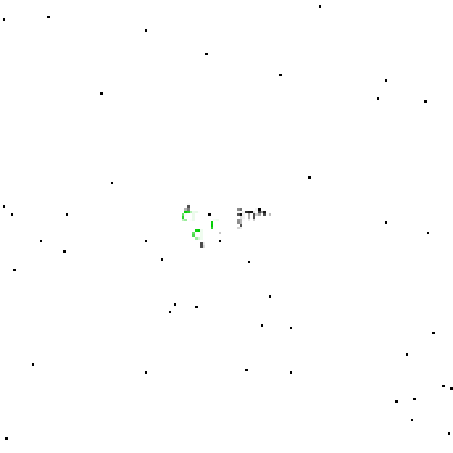 [Cl-].[Cl-].[Cl-].[Sm+3]